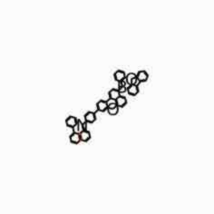 c1ccc(B(c2ccc3c4c(cccc24)Oc2cc(-c4ccc(N(c5ccccc5)c5ccccc5-c5ccccc5)cc4)ccc2-3)c2cccc3c2oc2ccccc23)cc1